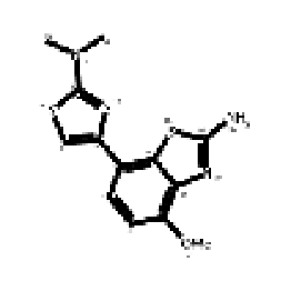 COc1ccc(-c2csc(N(C)C)n2)c2sc(N)nc12